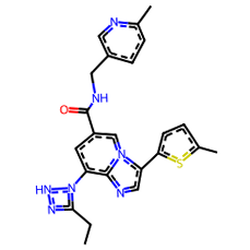 CCc1n[nH]n1-c1cc(C(=O)NCc2ccc(C)nc2)cn2c(-c3ccc(C)s3)cnc12